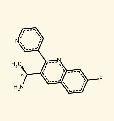 C[C@H](N)c1cc2ccc(F)cc2nc1-c1cccnc1